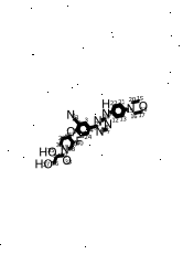 N#Cc1cc(-c2ncnc(Nc3ccc(N4CCOCC4)cc3)n2)ccc1O[C@H]1CCN(C(=O)C(O)CO)C[C@H]1F